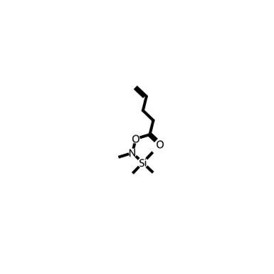 C=CCCC(=O)ON(C)[Si](C)(C)C